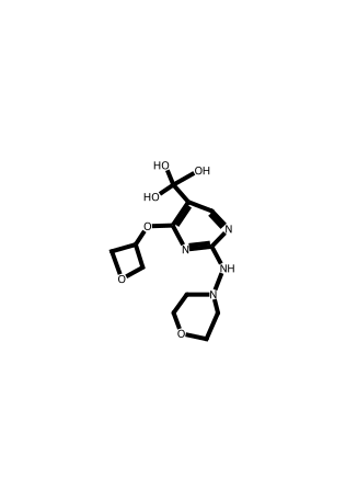 OC(O)(O)c1cnc(NN2CCOCC2)nc1OC1COC1